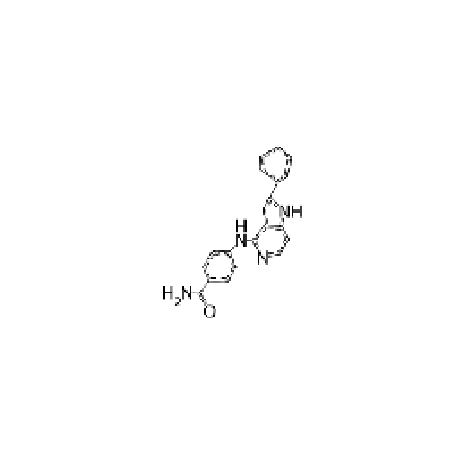 NC(=O)c1ccc(Nc2nccc3[nH]c(-c4ccccc4)cc23)cc1